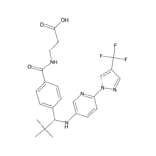 CC(C)(C)C(Nc1ccc(-n2cc(C(F)(F)F)cn2)nc1)c1ccc(C(=O)NCCC(=O)O)cc1